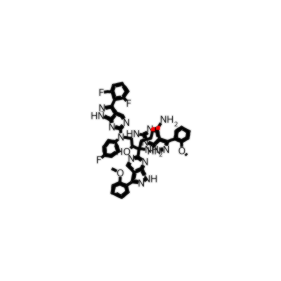 COc1ccccc1-c1n[nH]c2nc(NC(C(O)C(N)(CCCCN)c3ncc4c(-c5ccccc5OC)n[nH]c4n3)N(c3ccc(F)cc3)c3ncc4c(-c5c(F)cccc5F)n[nH]c4n3)ncc12